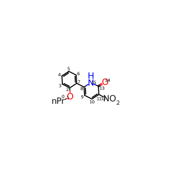 CCCOc1ccccc1-c1ccc([N+](=O)[O-])c(=O)[nH]1